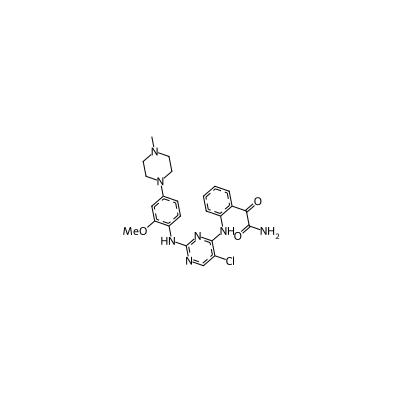 COc1cc(N2CCN(C)CC2)ccc1Nc1ncc(Cl)c(Nc2ccccc2C(=O)C(N)=O)n1